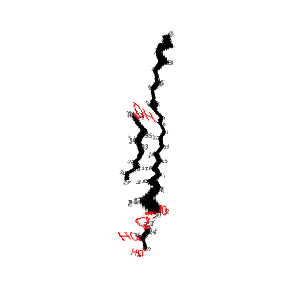 CCCCCCCCCCCCCCCCCCCCCC(=O)OCC(O)CO.CCCCCCCCO